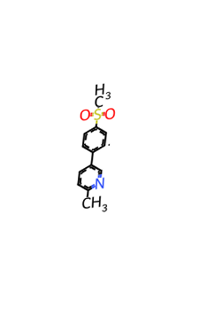 Cc1ccc(-c2[c]cc(S(C)(=O)=O)cc2)cn1